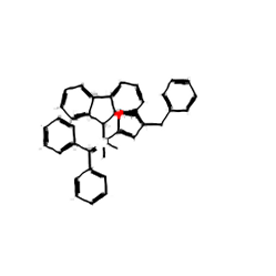 [CH3][Zr]([CH3])([C]1=CC(Cc2ccccc2)=CC1)(=[C](c1ccccc1)c1ccccc1)[CH]1c2ccccc2-c2ccccc21